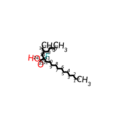 CCCCCCCCCCCCC(F)(CC(CC)CCCC)C(=O)O